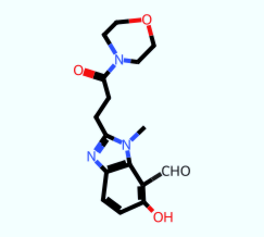 Cn1c(CCC(=O)N2CCOCC2)nc2ccc(O)c(C=O)c21